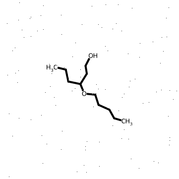 CCCCCOC(CCC)CCO